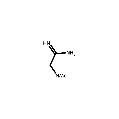 CNCC(=N)N